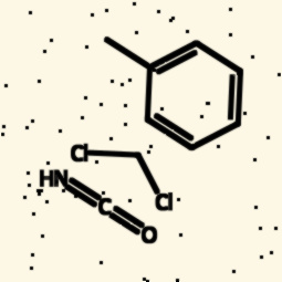 Cc1ccccc1.ClCCl.N=C=O